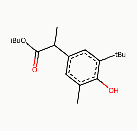 Cc1cc(C(C)C(=O)OCC(C)C)cc(C(C)(C)C)c1O